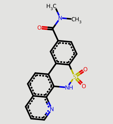 CN(C)C(=O)c1ccc2c(c1)-c1ccc3cccnc3c1NS2(=O)=O